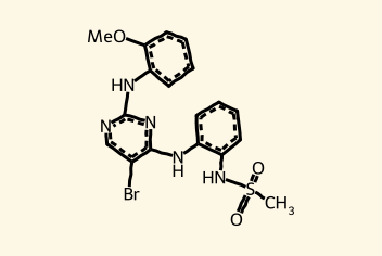 COc1ccccc1Nc1ncc(Br)c(Nc2ccccc2NS(C)(=O)=O)n1